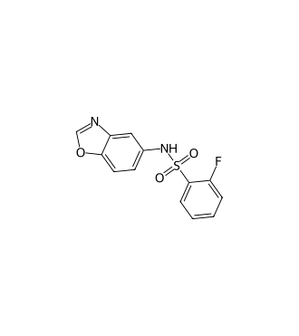 O=S(=O)(Nc1ccc2ocnc2c1)c1ccccc1F